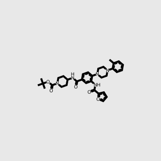 Cc1ccccc1N1CCN(c2ccc(C(=O)NC3CCN(C(=O)OC(C)(C)C)CC3)cc2NC(=O)c2ccco2)CC1